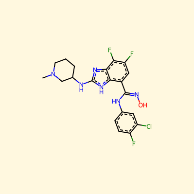 CN1CCCC(Nc2nc3c(F)c(F)cc(/C(=N/O)Nc4ccc(F)c(Cl)c4)c3[nH]2)C1